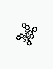 c1ccc(N2c3cccc4c3B(c3sc5c(ccc6ccccc65)c3N4c3ccccc3)c3c2sc2c3ccc3ccccc32)cc1